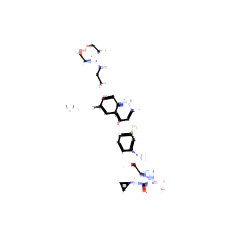 COc1cc2c(Oc3ccc(NC(=O)c4nn(OC(F)(F)F)c(=O)n4C4CC4)cc3F)ccnc2cc1OCCCN1CCOCC1